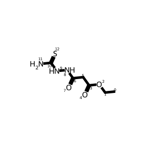 CCOC(=O)CC(=O)NNC(N)=S